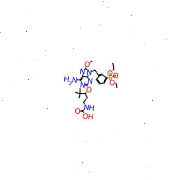 CCOP(=O)(OCC)c1cccc(Cn2c(OC)nc3c(N)nc(OC(CCNC(=O)O)C(C)(C)C)nc32)c1